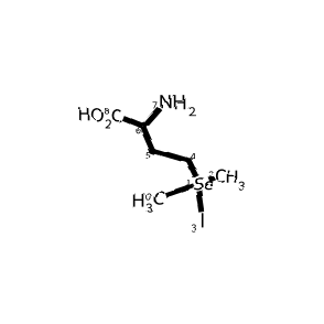 C[Se](C)(I)CCC(N)C(=O)O